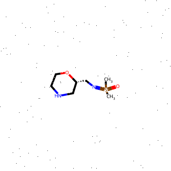 CS(C)(=O)=NC[C@@H]1CNCCO1